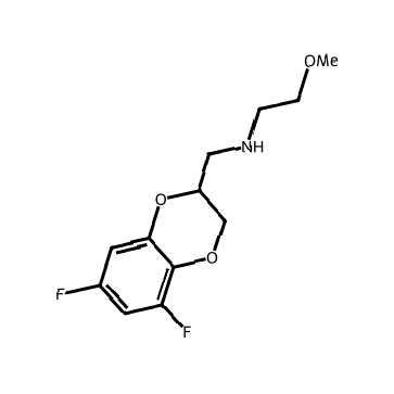 COCCNCC1COc2c(F)cc(F)cc2O1